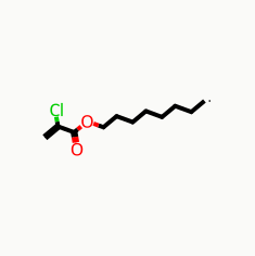 [CH2]CCCCCCCOC(=O)C(=C)Cl